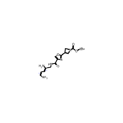 CC(C)(C)OC(=O)N1CC(c2nc(C(=O)NC/C(N)=C/C=C\N)co2)C1